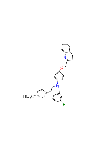 O=C(O)c1ccc(CCN(Cc2cccc(F)c2)c2ccc(OCc3ccc4ccccc4n3)cc2)cc1